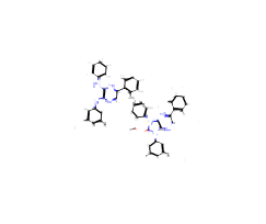 CCOC1N(c2cc(C)cc(C)c2)c2ncc(-c3c(C)cccc3C)nc2N1c1ccccc1.Cc1cc(C)cc(Nc2ncc(-c3c(C)cccc3C)nc2Nc2ccccc2)c1.Cl